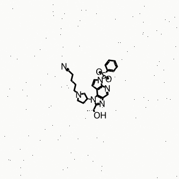 C[C@@H](O)c1nc2cnc3c(ccn3S(=O)(=O)c3ccccc3)c2n1[C@H]1CCN(CCCCC#N)C1